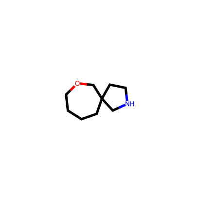 C1CCC2(CCNC2)COC1